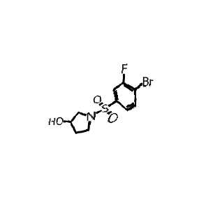 O=S(=O)(c1ccc(Br)c(F)c1)N1CCC(O)C1